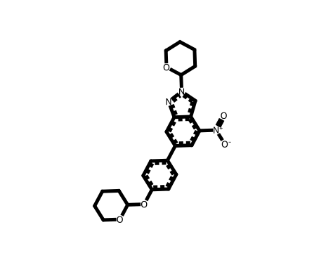 O=[N+]([O-])c1cc(-c2ccc(OC3CCCCO3)cc2)cc2nn(C3CCCCO3)cc12